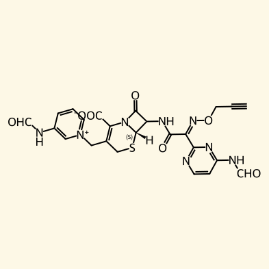 C#CCON=C(C(=O)NC1C(=O)N2C(C(=O)[O-])=C(C[n+]3cccc(NC=O)c3)CS[C@@H]12)c1nccc(NC=O)n1